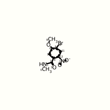 CNC(=O)c1cc(OC)c(Br)cc1[N+](=O)[O-]